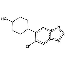 OC1CCC(c2cn3ncnc3cc2Cl)CC1